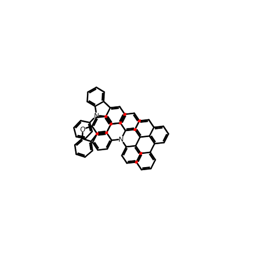 c1ccc(-c2cccc3cccc(-c4ccccc4N(c4ccccc4-c4ccc5oc6ccccc6c5c4)c4ccccc4-c4cccc5c6ccccc6n(-c6ccccc6)c45)c23)cc1